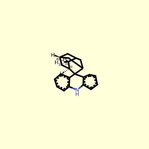 C[C@H]1C2CC3C[C@@H](C2)C[C@@H]1C31c2ccccc2Nc2ccccc21